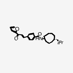 CC(C)C[C@H]1CCCCC(NC(=O)c2ccc(/C=C/C(=O)c3ccco3)cc2)CCC1